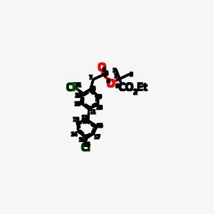 CCOC(=O)C(C)(C)OC(=O)Cc1ccc(-c2ccc(Cl)cc2)cc1Cl